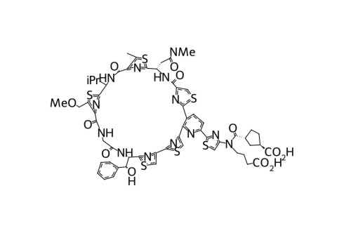 CNC(=O)C[C@@H]1NC(=O)c2csc(n2)-c2ccc(-c3nc(N(CCCC(=O)O)C(=O)[C@@H]4CC[C@@H](C(=O)O)C4)cs3)nc2-c2csc(n2)-c2csc(n2)[C@H]([C@@H](O)c2ccccc2)NC(=O)CNC(=O)c2nc(sc2COC)C(C(C)C)NC(=O)c2nc1sc2C